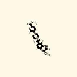 [2H]C([2H])(c1ccc2nc(C)c(=O)[nH]c2c1F)N1CCN(c2ccc(C(N)=O)nc2F)CC1